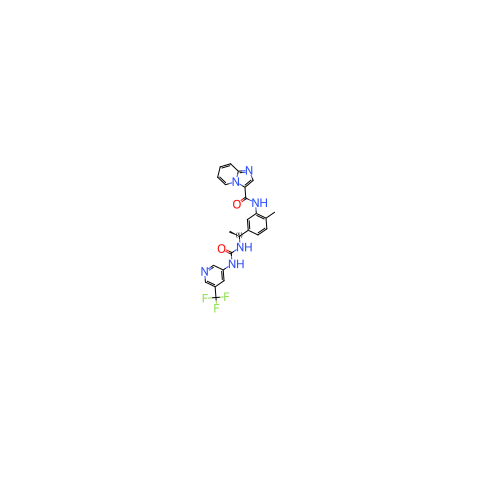 Cc1ccc([C@H](C)NC(=O)Nc2cncc(C(F)(F)F)c2)cc1NC(=O)c1cnc2ccccn12